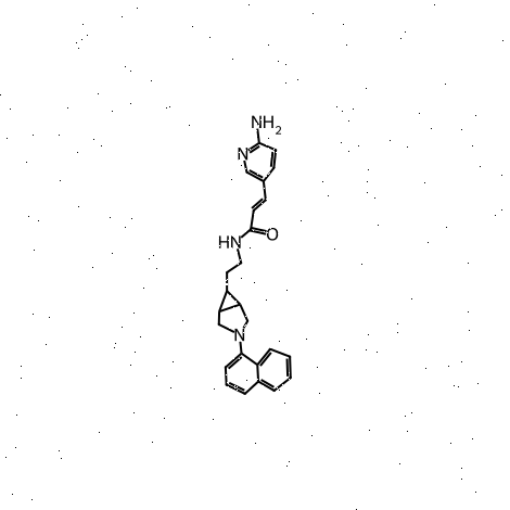 Nc1ccc(/C=C/C(=O)NCCC2C3CN(c4cccc5ccccc45)CC23)cn1